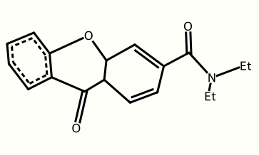 CCN(CC)C(=O)C1=CC2Oc3ccccc3C(=O)C2C=C1